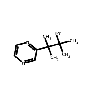 CC(C)C(C)(C)C(C)(C)c1cnccn1